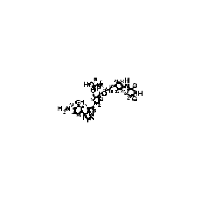 Cc1cc(-c2ncnn3cc(-c4ccc(COCCCc5ccc(NC6CCC(=O)NC6=O)cc5)cc4)cc23)ccc1CN.O=C(O)C(F)(F)F